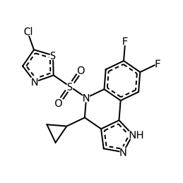 O=S(=O)(c1ncc(Cl)s1)N1c2cc(F)c(F)cc2-c2[nH]ncc2C1C1CC1